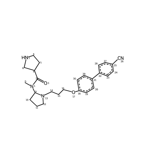 CN(C(=O)C1CCNC1)C1CCCN1CCCOc1ccc(-c2ccc(C#N)cc2)cc1